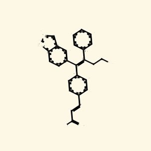 O=C(O)C=Cc1ccc(C(=C(CCO)c2ccccc2)c2ccc3[nH]ncc3c2)cc1